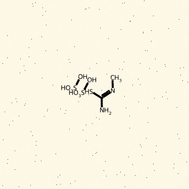 CN=C(N)S.O=S(=O)(O)O.O=S(=O)(O)O